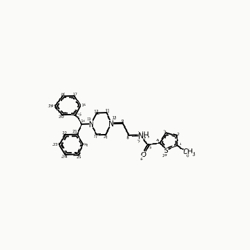 Cc1ccc(C(=O)NCCN2CCN(C(c3ccccc3)c3ccccc3)CC2)s1